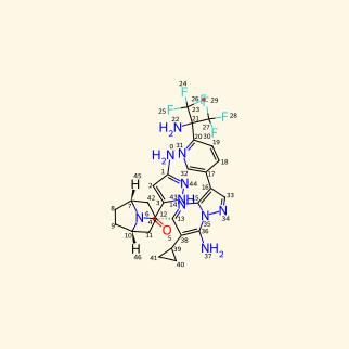 Nc1cc(C(=O)N2[C@@H]3CC[C@H]2C[C@@H](c2nc4c(-c5ccc(C(N)(C(F)(F)F)C(F)(F)F)nc5)cnn4c(N)c2C2CC2)C3)[nH]n1